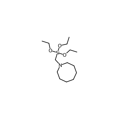 CCO[Si](CN1CCCCCCC1)(OCC)OCC